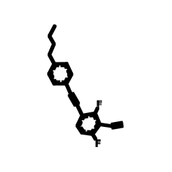 C#Cc1c(F)ccc(C#Cc2ccc(CCCC)cc2)c1F